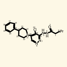 CC(C)CC(=O)NNc1nncc(N2CCC(c3ccccc3)CC2)c1Cl